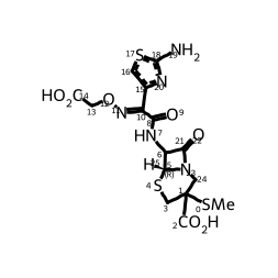 CSC1(C(=O)O)CS[C@@H]2C(NC(=O)C(=NOCC(=O)O)c3csc(N)n3)C(=O)N2C1